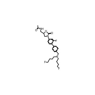 CC(=O)NCC1CN(c2ccc(-c3ccc(CN(CCCCF)CCCCF)cc3)c(F)c2)C(=O)O1